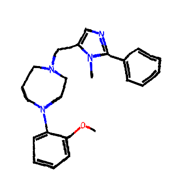 COc1ccccc1N1CCCN(Cc2cnc(-c3ccccc3)n2C)CC1